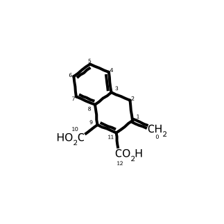 C=C1Cc2ccccc2C(C(=O)O)=C1C(=O)O